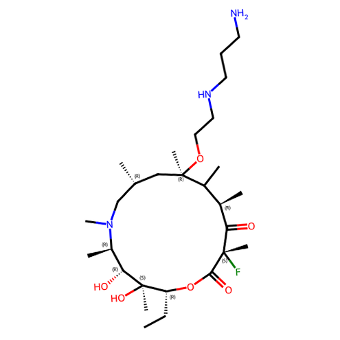 CC[C@H]1OC(=O)[C@@](C)(F)C(=O)[C@H](C)C(C)[C@](C)(OCCNCCCN)C[C@@H](C)CN(C)[C@H](C)[C@@H](O)[C@]1(C)O